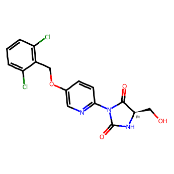 O=C1N[C@H](CO)C(=O)N1c1ccc(OCc2c(Cl)cccc2Cl)cn1